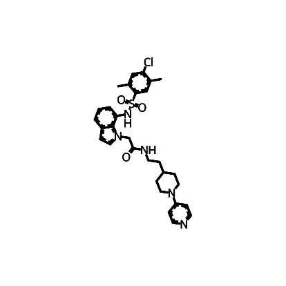 Cc1cc(S(=O)(=O)Nc2cccc3ccn(CC(=O)NCCC4CCN(c5ccncc5)CC4)c23)c(C)cc1Cl